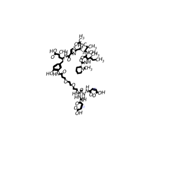 CC[C@H](C)[C@H](NC(=O)[C@H]1CCCCN1C)C(=O)N(C)[C@H](C[C@@H](OC(C)=O)c1nc(C(=O)N[C@@H](Cc2ccc(O)c(NC(=O)CCOCCOCCNP(=O)(NNC(=O)/C=C\C(=O)O)NNC(=O)/C=C\C(=O)O)c2)CC(C)C(=O)O)cs1)C(C)C